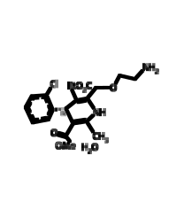 CCOC(=O)C1=C(COCCN)NC(C)=C(C(=O)OC)[C@@H]1c1ccccc1Cl.O